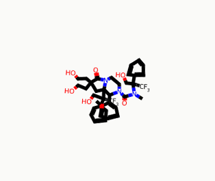 Cc1ccccc1C1N(C(=O)N(C)C(CO)(c2ccccc2)C(F)(F)F)CCN2C(=O)C(CCO)(CCO)CC12C(CO)(c1ccccc1)C(F)(F)F